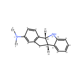 CCN(CC)c1ccc2c(c1)C[C@H]1c3ccccc3N[C@@H]21